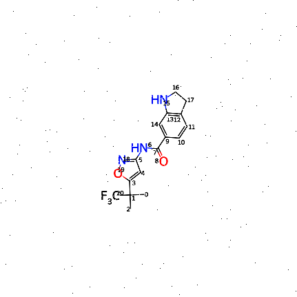 CC(C)(c1cc(NC(=O)c2ccc3c(c2)NCC3)no1)C(F)(F)F